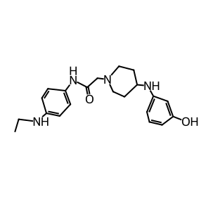 CCNc1ccc(NC(=O)CN2CCC(Nc3cccc(O)c3)CC2)cc1